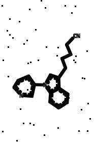 N#CCCCCc1cn(-c2cccnc2)c2ccccc12